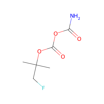 CC(C)(CF)OC(=O)OC(N)=O